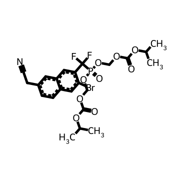 CC(C)OC(=O)OCOP(=O)(OCOC(=O)OC(C)C)C(F)(F)c1cc2cc(CC#N)ccc2cc1Br